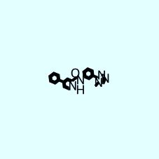 Cn1cnnc1-c1cccc(NC(=O)c2cc(-c3ccccc3)ccn2)c1